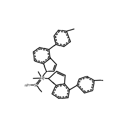 CCC[Si](C)=[Hf]([CH3])([CH3])([CH]1C=Cc2c(-c3ccc(C)cc3)cccc21)[CH]1C=Cc2c(-c3ccc(C)cc3)cccc21